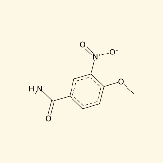 COc1ccc(C(N)=O)cc1[N+](=O)[O-]